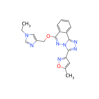 CCn1cnc(COc2nn3c(-c4cc(C)on4)nnc3c3ccccc23)c1